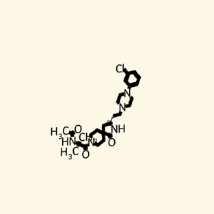 CC(=O)NC(C)(C)C(=O)N1CCC2(CC1)C[C@H](CCN1CCN(c3cccc(Cl)c3)CC1)NC2=O